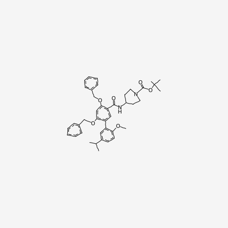 COc1ccc(C(C)C)cc1-c1cc(C(=O)NC2CCN(C(=O)OC(C)(C)C)CC2)c(OCc2ccccc2)cc1OCc1ccccc1